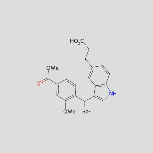 CCCC(c1ccc(C(=O)OC)cc1OC)c1c[nH]c2ccc(CCC(=O)O)cc12